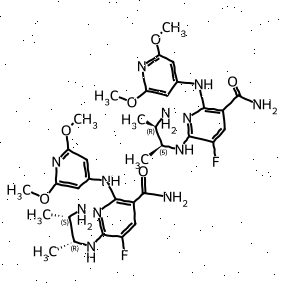 COc1cc(Nc2nc(N[C@@H](C)[C@@H](C)N)c(F)cc2C(N)=O)cc(OC)n1.COc1cc(Nc2nc(N[C@H](C)[C@H](C)N)c(F)cc2C(N)=O)cc(OC)n1